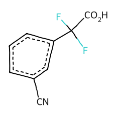 N#Cc1cccc(C(F)(F)C(=O)O)c1